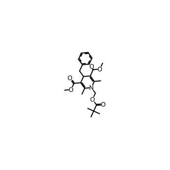 COC(=O)C1=C(C)N(COC(=O)C(C)(C)C)C(C)=C(C(=O)OC)C1Cc1ccccc1